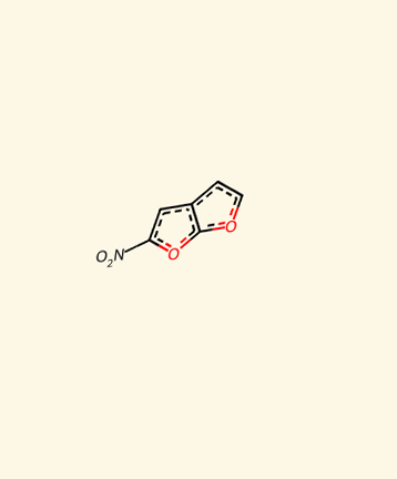 O=[N+]([O-])c1cc2ccoc2o1